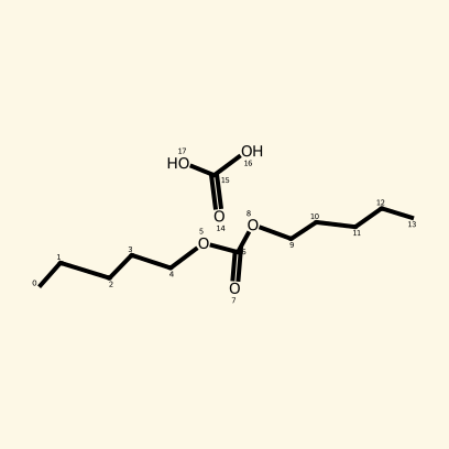 CCCCCOC(=O)OCCCCC.O=C(O)O